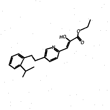 CCOC(=O)/C(O)=C/c1ccc(CCc2ccccc2C(C)C)cn1